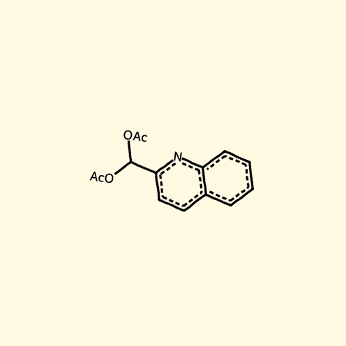 CC(=O)OC(OC(C)=O)c1ccc2ccccc2n1